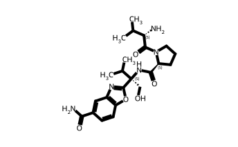 CC(C)[C@H](N)C(=O)N1CCC[C@H]1C(=O)N[C@@](CO)(c1nc2cc(C(N)=O)ccc2o1)C(C)C